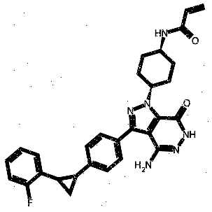 C=CC(=O)N[C@H]1CC[C@@H](n2nc(-c3ccc(C4CC4c4ccccc4F)cc3)c3c(N)n[nH]c(=O)c32)CC1